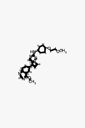 COCCO[C@H]1CC[C@@H](Nc2ncc3c(-c4ccc5ncnc(OC)c5c4)ccn3n2)CC1